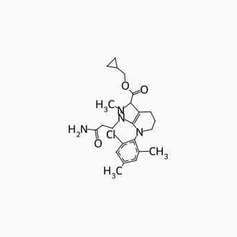 Cc1cc(C)c(N2CCCC3=C2N(CCC(N)=O)N(C)C3C(=O)OCC2CC2)c(Cl)c1